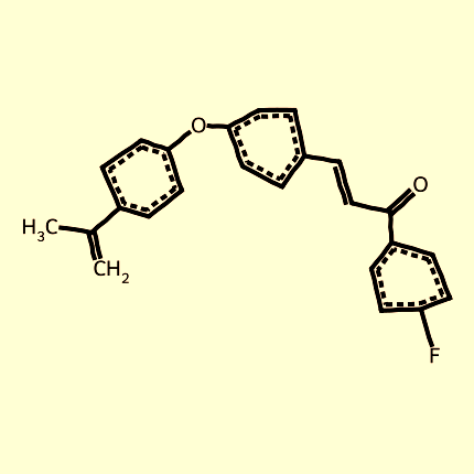 C=C(C)c1ccc(Oc2ccc(C=CC(=O)c3ccc(F)cc3)cc2)cc1